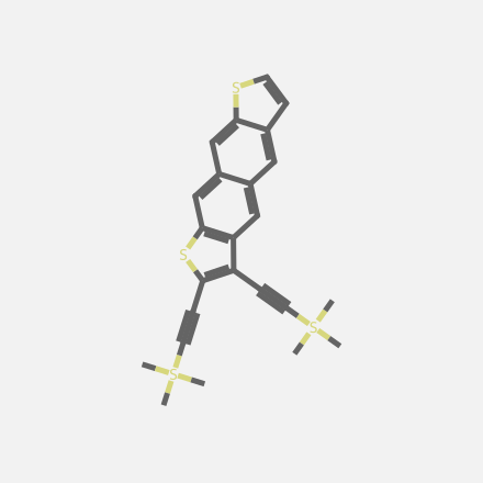 CS(C)(C)C#Cc1sc2cc3cc4sccc4cc3cc2c1C#CS(C)(C)C